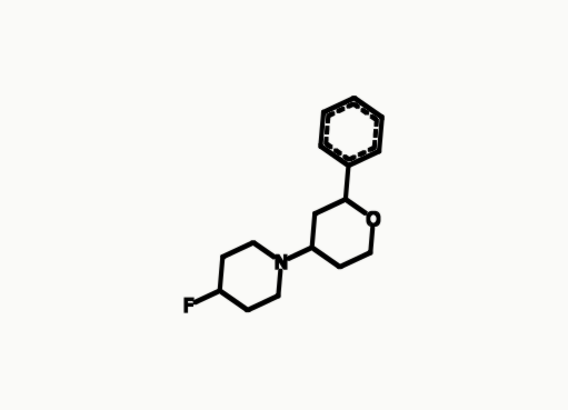 FC1CCN(C2CCOC(c3ccccc3)C2)CC1